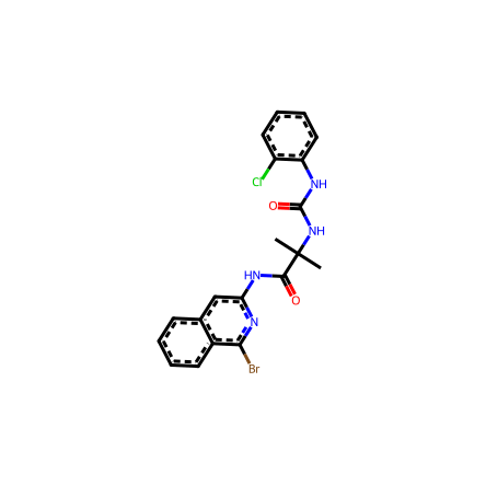 CC(C)(NC(=O)Nc1ccccc1Cl)C(=O)Nc1cc2ccccc2c(Br)n1